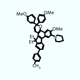 CCC1(CC)c2cc(-c3ccc(C)cc3)ccc2-c2c1c1c(c3cc(OC)c(N4CCCCC4)cc23)OC(c2ccc(OC)cc2)(c2ccc(OC)cc2)C=C1